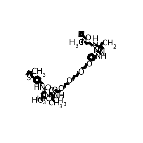 C=Cc1cnc(Nc2cccc(OCCCOCCCCOCCCOCC(=O)N[C@H](C(=O)N3C[C@H](O)C[C@H]3C(=O)NCc3ccc(-c4sccc4C)cc3)C(C)(C)C)c2)nc1NCCCN(C)C(=O)C1CCC1